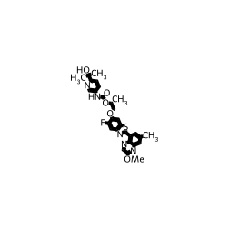 COc1cnc2c(-c3nc4cc(F)c(OC[C@@H](C)OC(=O)Nc5ccc(C(C)(C)O)nc5)cc4s3)cc(C)cc2n1